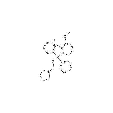 COc1cccc(C(OCN2CCCC2)(c2ccccc2)c2ccccc2)c1OC